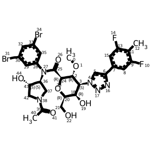 CO[C@@H]1[C@@H](n2cc(-c3cc(F)c(C)c(F)c3)nn2)[C@@H](O)[C@@H](CO)O[C@H]1C(=O)N(c1cc(Br)cc(Br)c1)[C@H]1CN(C(C)=O)C[C@@H]1O